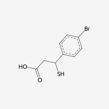 O=C(O)CC(S)c1ccc(Br)cc1